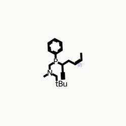 C#CC(C/C=C\C)P(CN(C)CC(C)(C)C)c1ccccc1